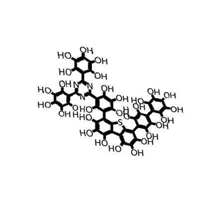 Oc1c(O)c(O)c(-c2nc(-c3c(O)c(O)c(O)c(O)c3O)nc(-c3c(O)c(O)c(O)c(-c4c(O)c(O)c(O)c5c4sc4c(-c6c(O)c(O)c(-c7c(O)c(O)c(O)c(O)c7O)c(O)c6O)c(O)c(O)c(O)c45)c3O)n2)c(O)c1O